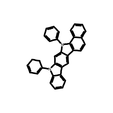 C1=CCCC(n2c3ccccc3c3cc4c5ccc6ccccc6c5n(-c5ccccc5)c4cc32)=C1